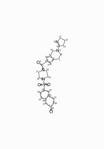 O=C(c1cc2c(s1)CCN(C1=NCCC1)C2)N1CCN(S(=O)(=O)c2ccc3cc(Cl)ccc3c2)CC1